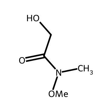 CON(C)C(=O)CO